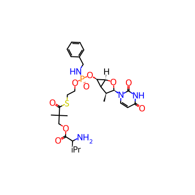 CC(C)C(N)C(=O)OCC(C)(C)C(=O)SCCOP(=O)(NCc1ccccc1)O[C@@H]1C2[C@H](C)[C@H](n3ccc(=O)[nH]c3=O)O[C@@H]21